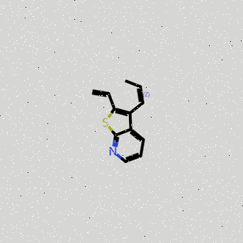 C=Cc1sc2ncccc2c1/C=C\C